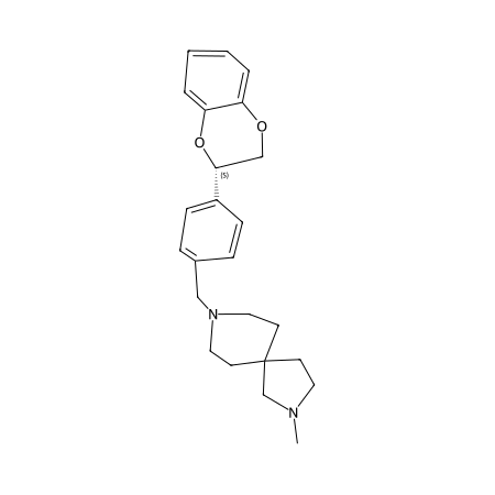 CN1CCC2(CCN(Cc3ccc([C@H]4COc5ccccc5O4)cc3)CC2)C1